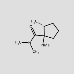 CNC1(C(=O)N(C)C)CCC[C@H]1C